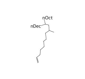 C=CCCCCCCC(C)CC(CCCCCCCC)CCCCCCCCCC